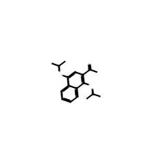 CC(=O)c1cc(OC(C)C)c2ccccc2c1OC(C)C